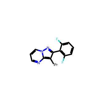 CC(C)c1c(-c2c(F)cccc2F)nn2cccnc12